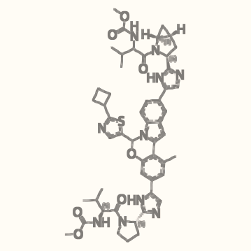 COC(=O)NC(C(=O)N1[C@@H]2C[C@@H]2C[C@H]1c1ncc(-c2ccc3c(c2)cc2n3C(c3cnc(C4CCC4)s3)Oc3cc(-c4cnc([C@@H]5CCCN5C(=O)[C@@H](NC(=O)OC)C(C)C)[nH]4)cc(C)c3-2)[nH]1)C(C)C